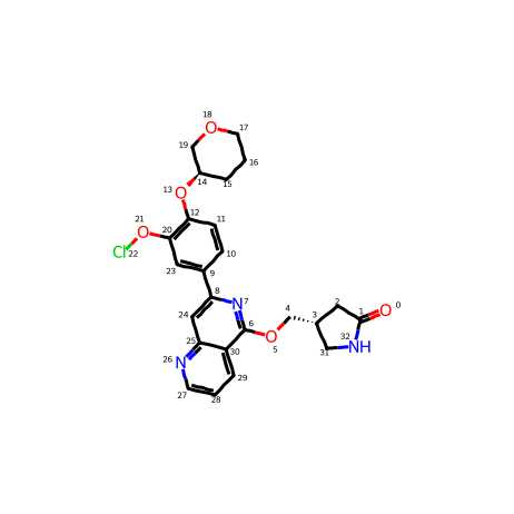 O=C1C[C@@H](COc2nc(-c3ccc(O[C@@H]4CCCOC4)c(OCl)c3)cc3ncccc23)CN1